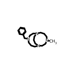 CN1CCCN2CCCN(CCCN(Cc3ccccc3)CC2)CC1